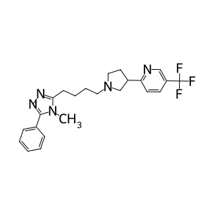 Cn1c(CCCCN2CCC(c3ccc(C(F)(F)F)cn3)C2)nnc1-c1ccccc1